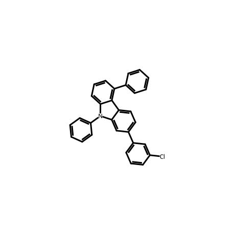 Clc1cccc(-c2ccc3c4c(-c5ccccc5)cccc4n(-c4ccccc4)c3c2)c1